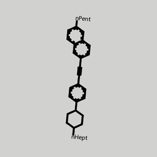 CCCCCCCC1CCC(c2ccc(C#Cc3ccc4cc(CCCCC)ccc4c3)cc2)CC1